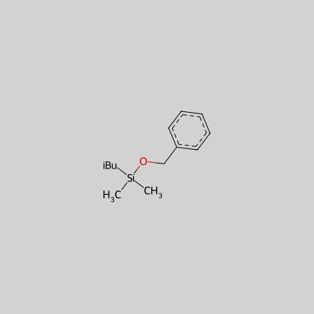 CCC(C)[Si](C)(C)OCc1ccccc1